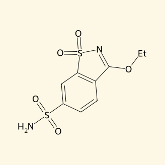 CCOC1=NS(=O)(=O)c2cc(S(N)(=O)=O)ccc21